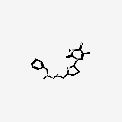 C=C1NC(=O)C(C)=CN1C1CCC(COSB(C)Cc2ccccc2)O1